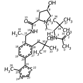 CC(=O)N[C@H](CN1C[C@H](O)CC1C(=O)N[C@@H](C)c1ccc(-c2scnc2C)cc1CC(C)(C)C)C(C)(C)C